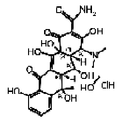 CN(C)[C@@H]1C(O)=C(C(N)=O)C(=O)[C@@]2(O)C(O)=C3C(=O)c4c(O)cccc4[C@@](C)(O)[C@H]3[C@H](O)[C@@H]12.CO.Cl